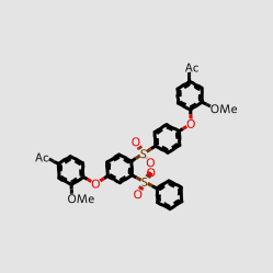 COc1cc(C(C)=O)ccc1Oc1ccc(S(=O)(=O)c2ccc(Oc3ccc(C(C)=O)cc3OC)cc2S(=O)(=O)c2ccccc2)cc1